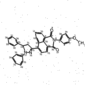 COc1ccc(N2C(=O)c3cccc4c(C5=NN(c6ccccc6)C(c6ccccc6)C5)ccc(c34)C2=O)cc1